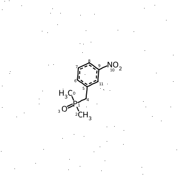 CP(C)(=O)Cc1cccc([N+](=O)[O-])c1